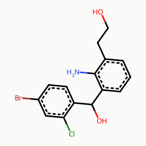 Nc1c(CCO)cccc1C(O)c1ccc(Br)cc1Cl